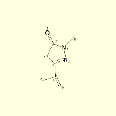 C=C(C)C1=NN(C)C(=O)C1